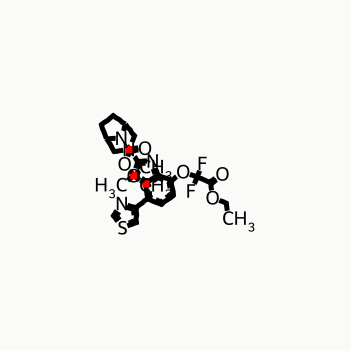 CCOC(=O)C(F)(F)Oc1ccc(-c2cscn2)c2oc(N3CC4CCC(C3)N4C(=O)OC(C)(C)C)nc12